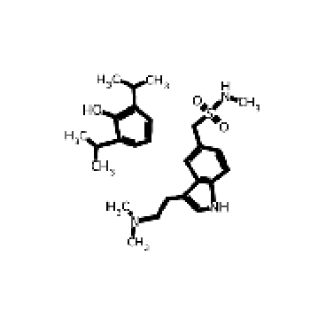 CC(C)c1cccc(C(C)C)c1O.CNS(=O)(=O)Cc1ccc2[nH]cc(CCN(C)C)c2c1